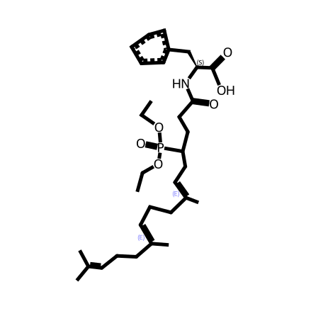 CCOP(=O)(OCC)C(C/C=C(\C)CC/C=C(\C)CCC=C(C)C)CCC(=O)N[C@@H](Cc1ccccc1)C(=O)O